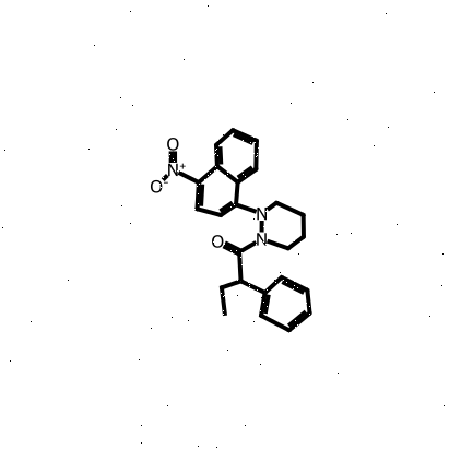 CCC(C(=O)N1CCCCN1c1ccc([N+](=O)[O-])c2ccccc12)c1ccccc1